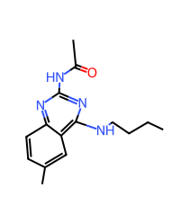 CCCCNc1nc(NC(C)=O)nc2ccc(C)cc12